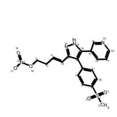 CS(=O)(=O)c1ccc(-c2c(C=CCCO[N+](=O)[O-])n[nH]c2-c2cccnc2)cc1